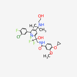 COc1cc(C(=O)NCC(O)(c2cc(C(C)(C)NCCO)cc(-c3ccc(F)c(Cl)c3)n2)C(F)(F)F)ccc1OC1CC1